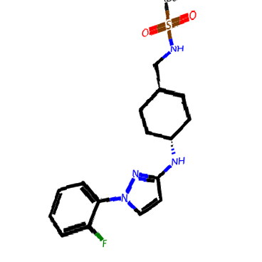 CC(C)(C)S(=O)(=O)NC[C@H]1CC[C@H](Nc2ccn(-c3ccccc3F)n2)CC1